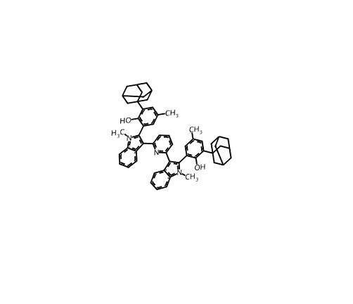 Cc1cc(-c2c(-c3cccc(-c4c(-c5cc(C)cc(C67CC8CC(CC(C8)C6)C7)c5O)n(C)c5ccccc45)n3)c3ccccc3n2C)c(O)c(C23CC4CC(CC(C4)C2)C3)c1